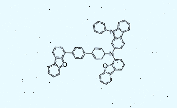 C1=CC(N(c2ccc3c4ccccc4n(-c4ccccc4)c3c2)c2cccc3c2oc2ccccc23)CC=C1c1ccc(-c2cccc3c2oc2ccccc23)cc1